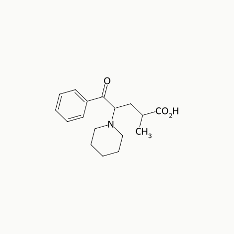 CC(CC(C(=O)c1ccccc1)N1CCCCC1)C(=O)O